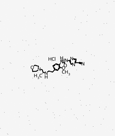 COc1cc(CCN[C@H](C)CN2CCOCC2)ccc1NC(=O)Nc1cnc(C#N)cn1.Cl